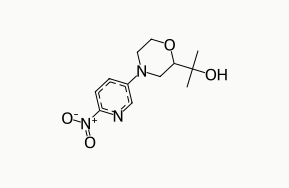 CC(C)(O)C1CN(c2ccc([N+](=O)[O-])nc2)CCO1